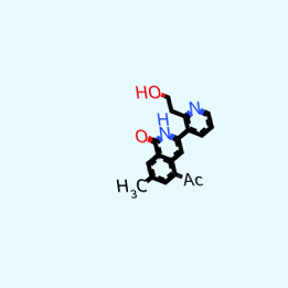 CC(=O)c1cc(C)cc2c(=O)[nH]c(-c3cccnc3CCO)cc12